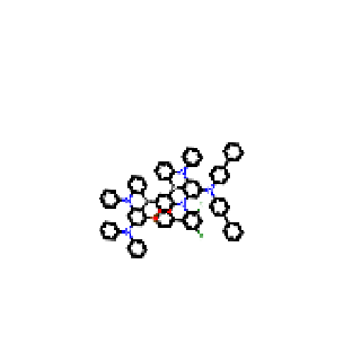 Fc1cc(F)c(N2c3cc4c(cc3B3c5ccccc5N(c5ccccc5)c5cc(N(c6ccc(-c7ccccc7)cc6)c6ccc(-c7ccccc7)cc6)cc2c53)B2c3ccccc3N(c3ccccc3)c3cc(N(c5ccccc5)c5ccccc5)cc(c32)S4)c(-c2ccccc2)c1